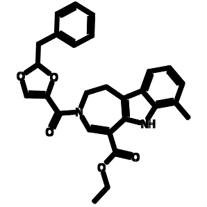 CCOC(=O)C1=CN(C(=O)C2=COC(Cc3ccccc3)O2)CCc2c1[nH]c1c(C)cccc21